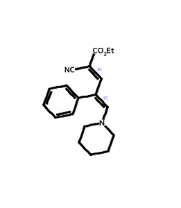 CCOC(=O)/C(C#N)=C/C(=C/N1CCCCC1)c1ccccc1